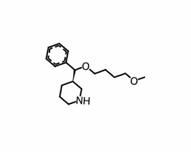 COCCCCOC(c1ccccc1)[C@@H]1CCCNC1